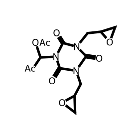 CC(=O)OC(C(C)=O)n1c(=O)n(CC2CO2)c(=O)n(CC2CO2)c1=O